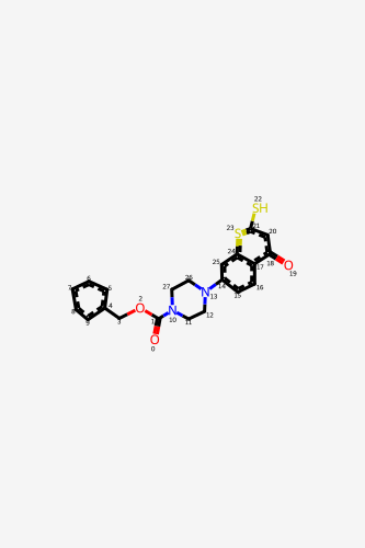 O=C(OCc1ccccc1)N1CCN(c2ccc3c(=O)cc(S)sc3c2)CC1